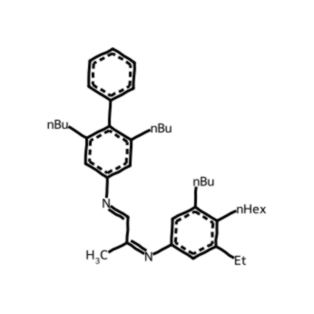 CCCCCCc1c(CC)cc(N=C(C)C=Nc2cc(CCCC)c(-c3ccccc3)c(CCCC)c2)cc1CCCC